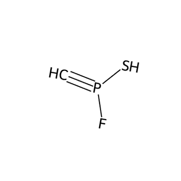 C#P(F)S